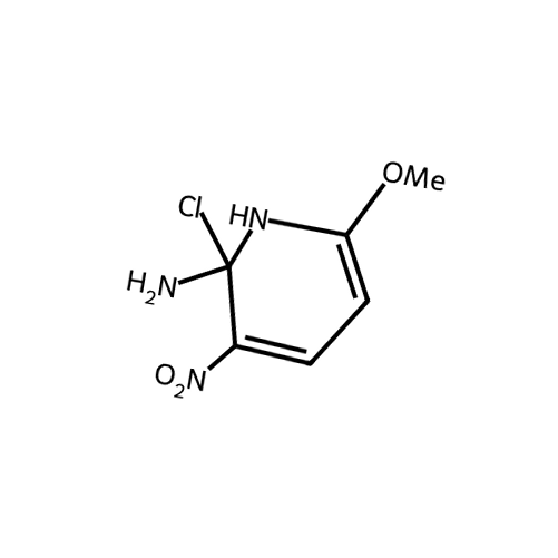 COC1=CC=C([N+](=O)[O-])C(N)(Cl)N1